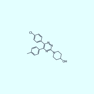 Cc1ccc(-c2nc(N3CCC(O)CC3)nnc2-c2ccc(Cl)cc2)cc1